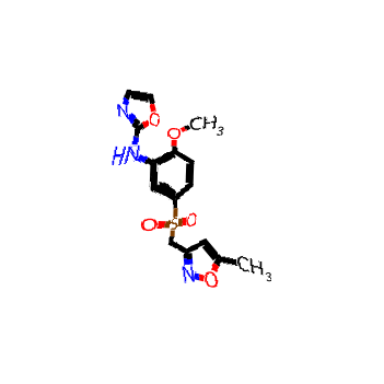 COc1ccc(S(=O)(=O)Cc2cc(C)on2)cc1Nc1ncco1